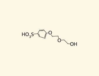 O=S(=O)(O)c1ccc(OCCOCCO)cc1